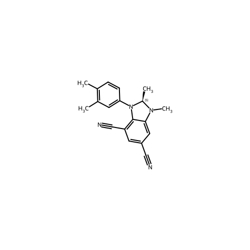 Cc1ccc(N2c3c(C#N)cc(C#N)cc3N(C)[C@@H]2C)cc1C